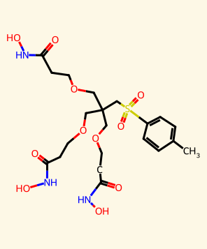 Cc1ccc(S(=O)(=O)CC(COCCC(=O)NO)(COCCC(=O)NO)COCCC(=O)NO)cc1